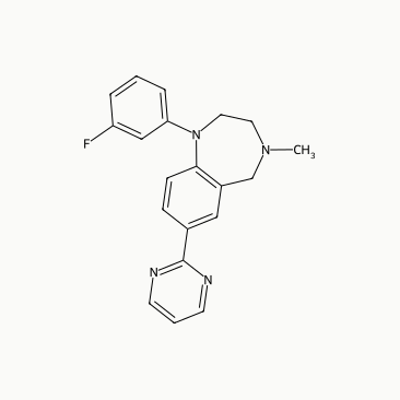 CN1CCN(c2cccc(F)c2)c2ccc(-c3ncccn3)cc2C1